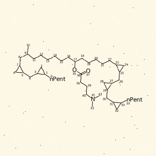 CCCCCC1CC1CC1CC1CC(C)CCCCCCC(CCCCCC1CC1CC1CC1CC1CC1CCCCC)OC(=O)CCCN(C)C